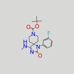 CNC1=NC(=O)N(c2cccc(F)c2)C12CCN(C(=O)OC(C)(C)C)CC2